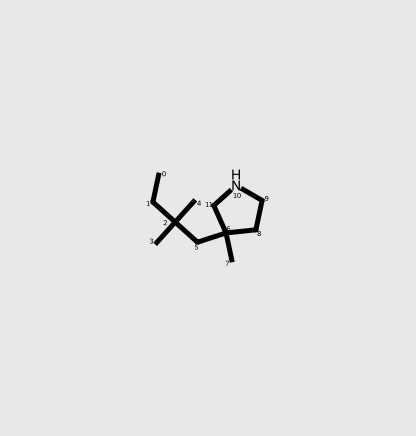 CCC(C)(C)CC1(C)CCNC1